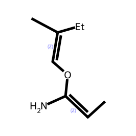 C/C=C(/N)O/C=C(/C)CC